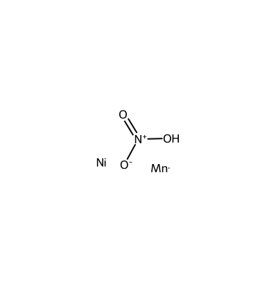 O=[N+]([O-])O.[Mn].[Ni]